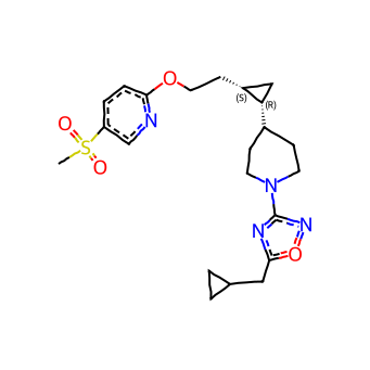 CS(=O)(=O)c1ccc(OCC[C@@H]2C[C@@H]2C2CCN(c3noc(CC4CC4)n3)CC2)nc1